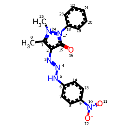 Cc1c(N=NNc2ccc([N+](=O)[O-])cc2)c(=O)n(-c2ccccc2)n1C